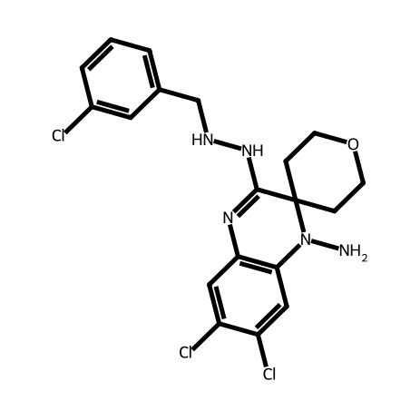 NN1c2cc(Cl)c(Cl)cc2N=C(NNCc2cccc(Cl)c2)C12CCOCC2